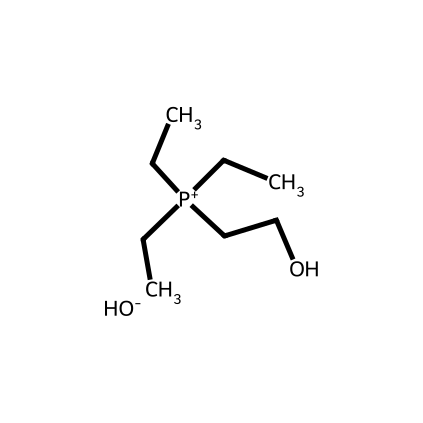 CC[P+](CC)(CC)CCO.[OH-]